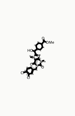 COC(=O)C1CCC(C(O)c2nc3c(c(=O)n(Cc4ccc(Cl)c(Cl)c4)c(=O)n3C)n2C)CC1